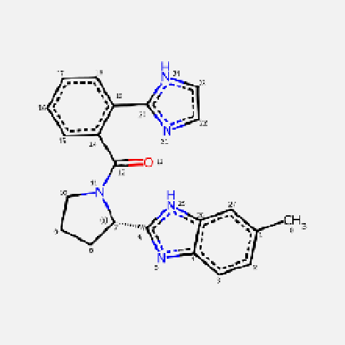 Cc1ccc2nc([C@@H]3CCCN3C(=O)c3ccccc3-c3ncc[nH]3)[nH]c2c1